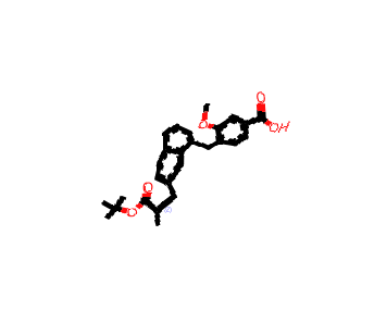 COc1cc(C(=O)O)ccc1Cc1cccc2ccc(/C=C(/C)C(=O)OC(C)(C)C)cc12